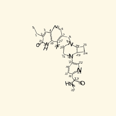 CCc1cc2ncc(CN3CCN(c4ccc(C(=O)NC)nc4)C4CCC43)c(F)c2[nH]c1=O